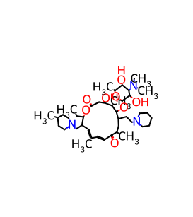 CCC1OC(=O)CC(O)C(C)C(OC2OC(C)C(O)C(N(C)C)C2O)C(CCN2CCCCC2)CC(C)C(=O)/C=C/C(C)=C/C1CN1CCC(C)CC1